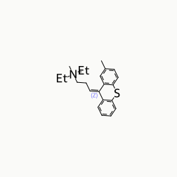 CC[N+](C)(CC)CC/C=C1/c2ccccc2Sc2ccc(C)cc21